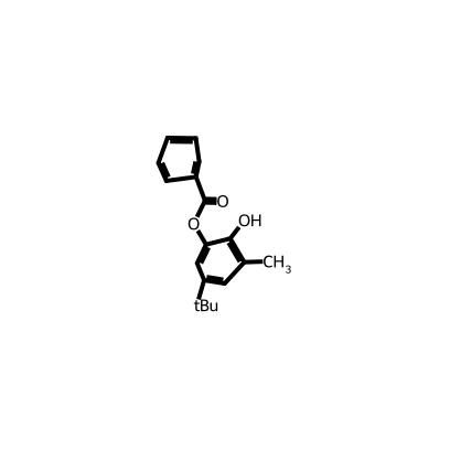 Cc1cc(C(C)(C)C)cc(OC(=O)c2ccccc2)c1O